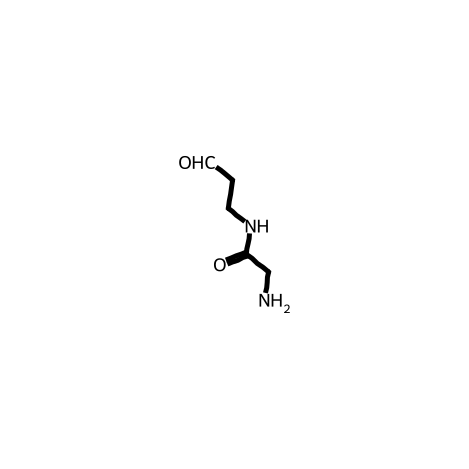 NCC(=O)NCCC=O